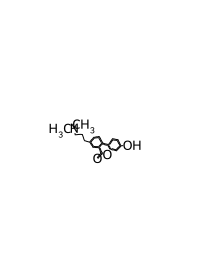 CN(C)CCCc1ccc2c(c1)c(=O)oc1cc(O)ccc12